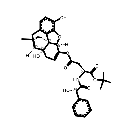 CN1CC[C@]23c4c5ccc(O)c4O[C@H]2C(OC(=O)C[C@H](NC(=O)[C@@H](O)c2ccccc2)C(=O)OC(C)(C)C)=CC[C@@]3(O)[C@H]1C5